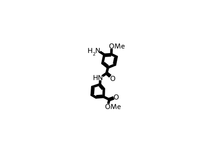 COC(=O)c1cccc(NC(=O)c2ccc(OC)c(N)c2)c1